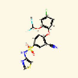 N#Cc1cc(S(=O)(=O)Nc2cscn2)ccc1Oc1ccc(Cl)cc1OC(F)F